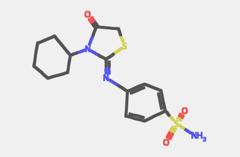 NS(=O)(=O)c1ccc(/N=C2\SCC(=O)N2C2CCCCC2)cc1